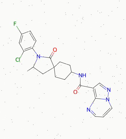 CC1CC2(CCC(NC(=O)c3cnn4cccnc34)CC2)C(=O)N1c1ccc(F)cc1Cl